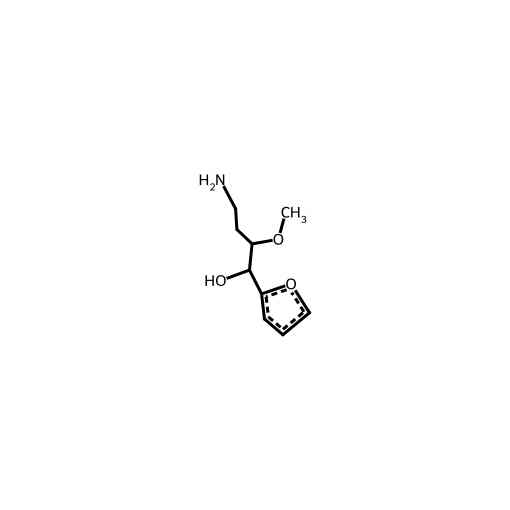 COC(CCN)C(O)c1ccco1